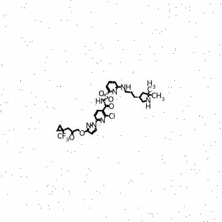 CC1(C)C[C@H](CCCNc2cccc(S(=O)(=O)NC(=O)c3ccc(-n4ccc(OCC(=O)CC5(C(F)(F)F)CC5)n4)nc3Cl)n2)CN1